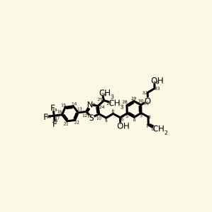 C=CCc1cc(C(O)CCc2sc(-c3ccc(C(F)(F)F)cc3)nc2C(C)C)ccc1OCCO